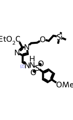 CCOC(=O)c1nc(/C=N\NS(=O)(=O)c2ccc(OC)cc2)cn1CCOCC[Si](C)(C)C